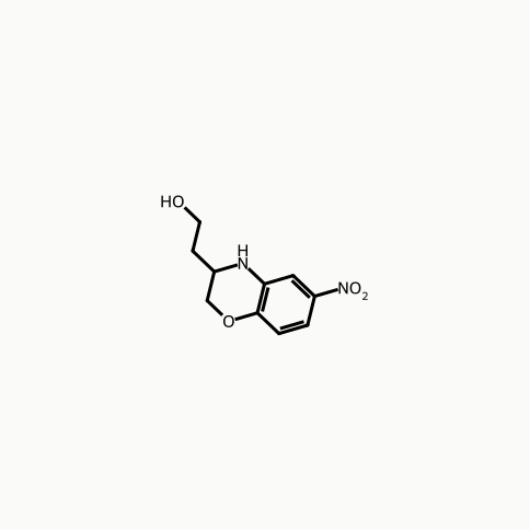 O=[N+]([O-])c1ccc2c(c1)NC(CCO)CO2